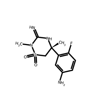 CN1C(=N)N[C@](C)(c2cc(N)ccc2F)CS1(=O)=O